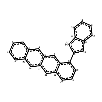 c1ccc2cc3cc4c(-c5cc6ccccc6[nH]5)cccc4cc3cc2c1